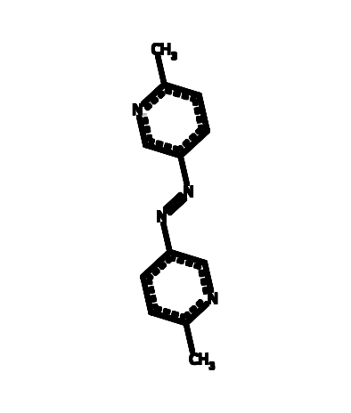 Cc1ccc(N=Nc2ccc(C)nc2)cn1